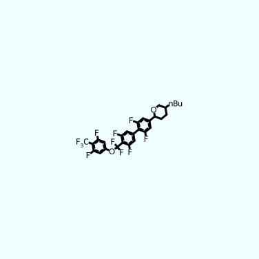 CCCCC1CCC(c2cc(F)c(-c3cc(F)c(C(F)(F)Oc4cc(F)c(C(F)(F)F)c(F)c4)c(F)c3)c(F)c2)OC1